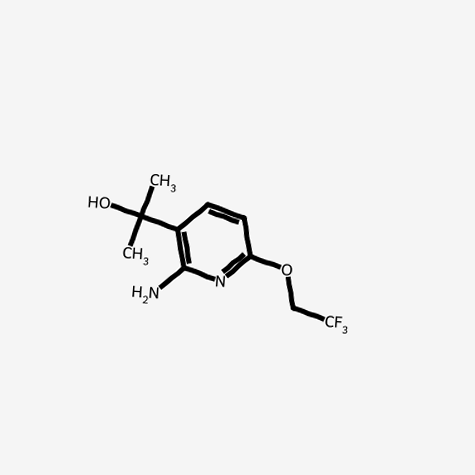 CC(C)(O)c1ccc(OCC(F)(F)F)nc1N